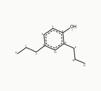 CCCc1ccc(O)c(CCC)c1